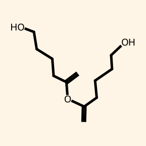 C=C(CCCCO)OC(=C)CCCCO